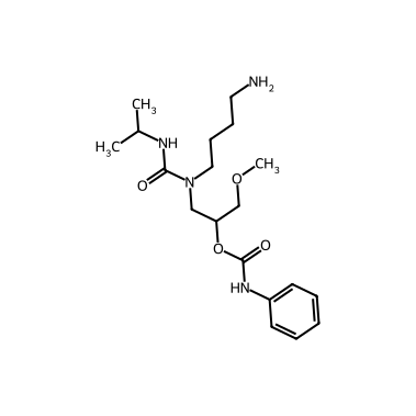 COCC(CN(CCCCN)C(=O)NC(C)C)OC(=O)Nc1ccccc1